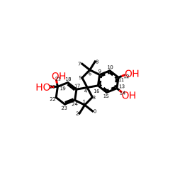 CC1(C)CC2(CC(C)(C)c3cc(O)c(O)cc32)C2=CC(O)(O)CC=C21